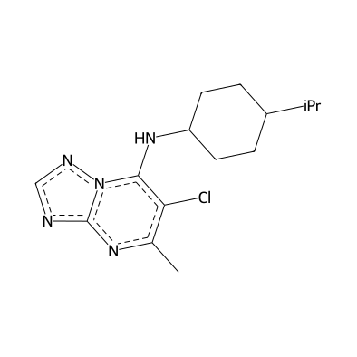 Cc1nc2ncnn2c(NC2CCC(C(C)C)CC2)c1Cl